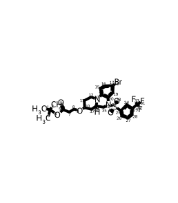 CC(C)(C)OC(=O)CCOC1CCN2c3ccc(Br)cc3N(S(=O)(=O)c3cccc(C(F)(F)F)c3)C[C@@H]2C1